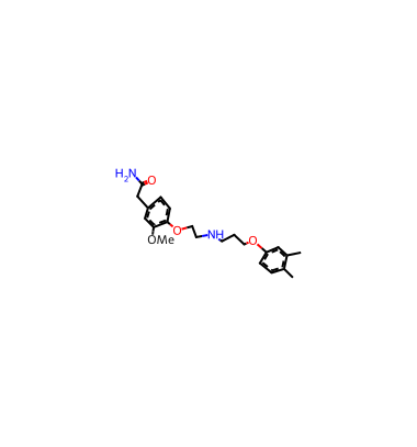 COc1cc(CC(N)=O)ccc1OCCNCCCOc1ccc(C)c(C)c1